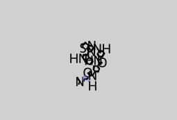 CN(C)C/C=C/C(=O)Nc1ccc(C(=O)Nc2cccc(Nc3nc(-c4c[nH]c5ccccc45)c4sccc4n3)c2)cc1